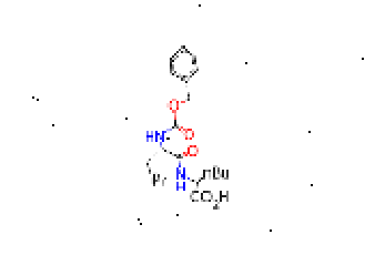 CCCC[C@H](NC(=O)[C@H](CC(C)C)NC(=O)OCc1ccccc1)C(=O)O